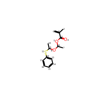 C=C(C)C(=O)OC(C)OC(C)Sc1ccccc1